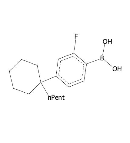 CCCCCC1(c2ccc(B(O)O)c(F)c2)CCCCC1